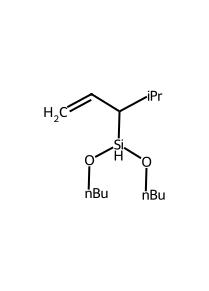 C=CC(C(C)C)[SiH](OCCCC)OCCCC